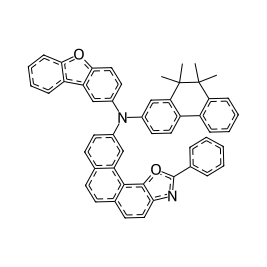 CC1(C)c2ccccc2-c2ccc(N(c3ccc4oc5ccccc5c4c3)c3ccc4ccc5ccc6nc(-c7ccccc7)oc6c5c4c3)cc2C1(C)C